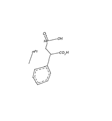 CCCC.O=C(O)C(C[PH](=O)O)c1ccccc1